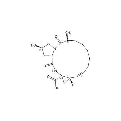 C[C@H]1CCCCC/C=C\[C@@H]2C[C@@]2(C(=O)O)NC(=O)C2C[C@@H](O)CN2C1=O